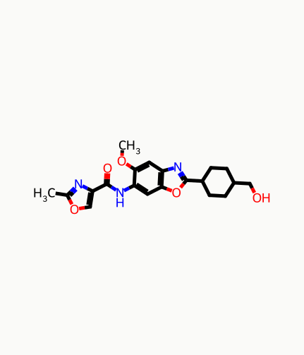 COc1cc2nc(C3CCC(CO)CC3)oc2cc1NC(=O)c1coc(C)n1